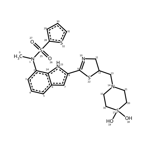 CN(c1cccc2cc(C3=NCC(CN4CCS(O)(O)CC4)S3)[nH]c12)S(=O)(=O)c1cccs1